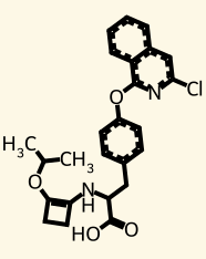 CC(C)OC1=C(NC(Cc2ccc(Oc3nc(Cl)cc4ccccc34)cc2)C(=O)O)CC1